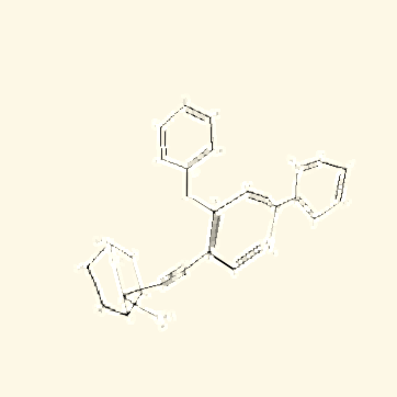 OC1(C#Cc2cnc(-c3ccccn3)cc2Cc2ccccc2)CN2CCC1CC2